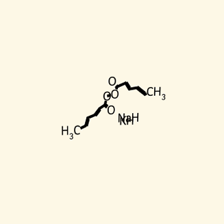 C/C=C/C=C/C(=O)OOC(=O)/C=C/C=C/C.[KH].[NaH]